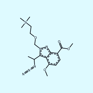 COC(=O)c1ccc(OC)c2c(C(C)N=[N+]=[N-])n(COCC[Si](C)(C)C)nc12